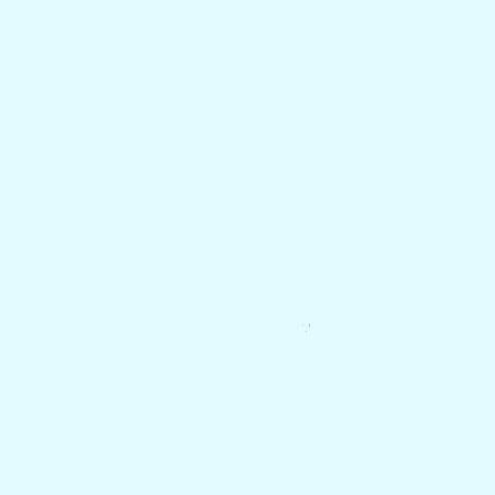 C=CC=C(c1ccc(OC)cc1)c1ccc(OCC)cc1